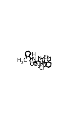 CCc1nc(C(=O)NC(CC(=O)O)c2ccccc2C)nn1-c1c(Cl)cccc1Cl